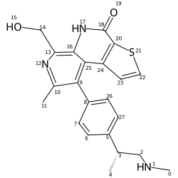 CNC[C@H](C)c1ccc(-c2c(C)nc(CO)c3[nH]c(=O)c4sccc4c23)cc1